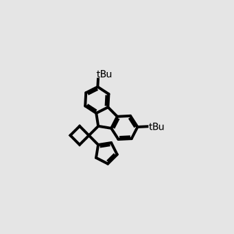 CC(C)(C)c1ccc2c(c1)-c1cc(C(C)(C)C)ccc1C2C1(C2=CC=CC2)CCC1